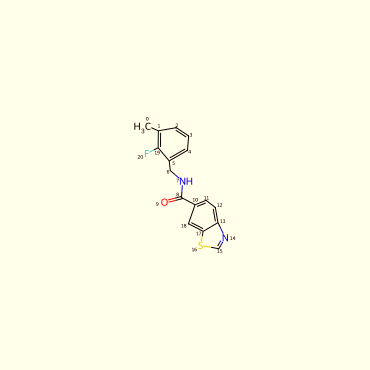 Cc1cccc(CNC(=O)c2ccc3ncsc3c2)c1F